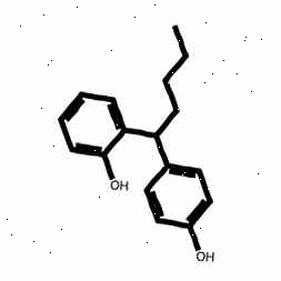 CCCCC(c1ccc(O)cc1)c1ccccc1O